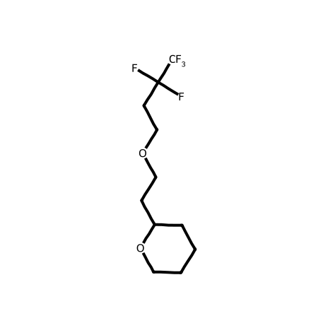 FC(F)(F)C(F)(F)CCOCCC1CCCCO1